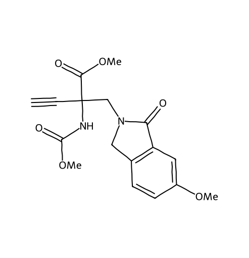 C#CC(CN1Cc2ccc(OC)cc2C1=O)(NC(=O)OC)C(=O)OC